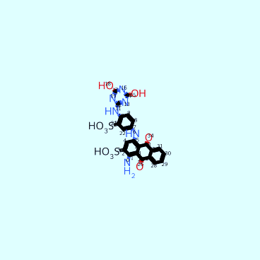 Nc1c(S(=O)(=O)O)cc(Nc2ccc(Nc3nc(O)nc(O)n3)c(S(=O)(=O)O)c2)c2c1C(=O)c1ccccc1C2=O